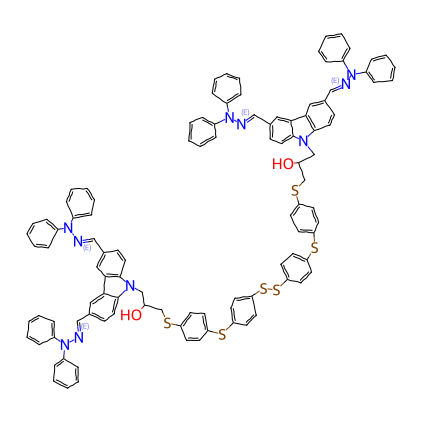 OC(CSc1ccc(Sc2ccc(SSc3ccc(Sc4ccc(SCC(O)Cn5c6ccc(/C=N/N(c7ccccc7)c7ccccc7)cc6c6cc(/C=N/N(c7ccccc7)c7ccccc7)ccc65)cc4)cc3)cc2)cc1)Cn1c2ccc(/C=N/N(c3ccccc3)c3ccccc3)cc2c2cc(/C=N/N(c3ccccc3)c3ccccc3)ccc21